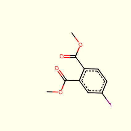 COC(=O)c1ccc(I)cc1C(=O)OC